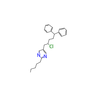 CCCCCc1ncc(CC(Cl)CCC(c2ccccc2)c2ccccc2)cn1